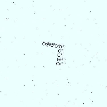 [Co+2].[Co+2].[Fe+3].[Fe+3].[O-2].[O-2].[O-2].[O-2].[O-2]